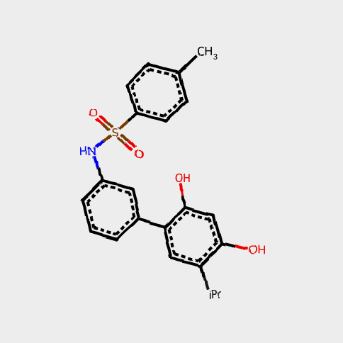 Cc1ccc(S(=O)(=O)Nc2cccc(-c3cc(C(C)C)c(O)cc3O)c2)cc1